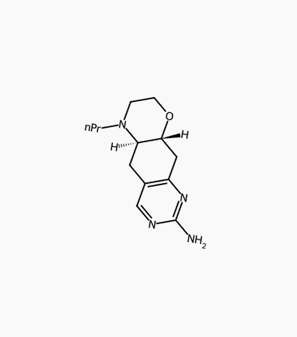 CCCN1CCO[C@@H]2Cc3nc(N)ncc3C[C@H]21